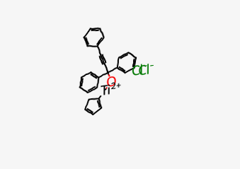 C(#CC([O][Ti+2][C]1=CC=CC1)(c1ccccc1)c1ccccc1)c1ccccc1.[Cl-].[Cl-]